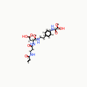 C=CC(=O)NCCC(=O)N[C@@H](CC(=O)O)C(=O)NCCc1ccc(NC(=O)C(=O)O)cc1